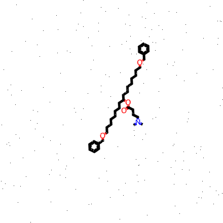 CN(C)CCCC(=O)OC(CCCCCCCCOCc1ccccc1)CCCCCCCCOCc1ccccc1